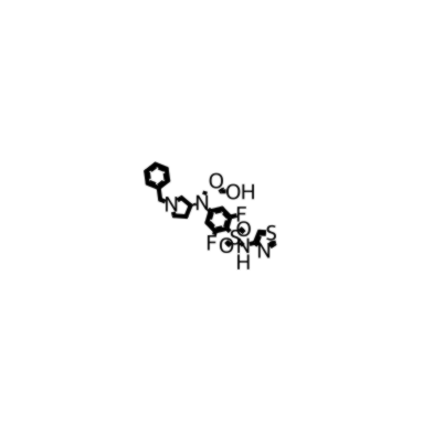 CN(c1cc(F)c(S(=O)(=O)Nc2cscn2)c(F)c1)[C@H]1CCN(Cc2ccccc2)C1.O=CO